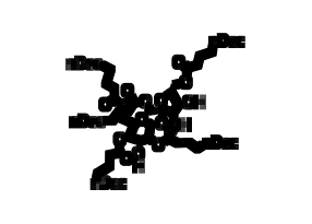 CCCCCCCCCCCCCC(=O)OCC1O[C@@H](O[C@]2(COC(=O)CCCCCCCCCCCCC)O[C@H](COC(=O)CCCCCCCCCCCCC)[C@H](O)C2O)C(OC(=O)CCCCCCCCCCCCC)[C@H](O)[C@@H]1OC(=O)CCCCCCCCCCCCC